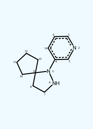 c1cncc(N2NCCC23CCCC3)c1